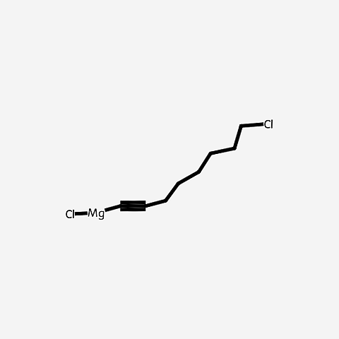 ClCCCCCCC#[C][Mg][Cl]